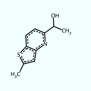 Cc1cc2nc(C(C)O)ccc2s1